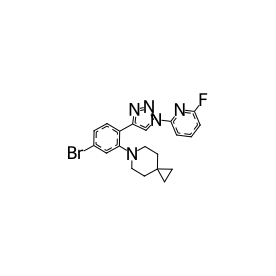 Fc1cccc(-n2cc(-c3ccc(Br)cc3N3CCC4(CC3)CC4)nn2)n1